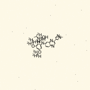 [2H]C([2H])([2H])Oc1cc(OC([2H])([2H])[2H])cc(N(c2ccc3ncc(-c4cnn(C)c4)nc3c2)C([2H])([2H])C([2H])(O)NC(C)C)c1